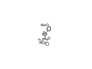 COc1cccc(-c2cc(N(C)C(=O)C3CCCN3C#N)no2)c1